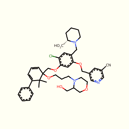 CC1(C)C(c2ccccc2)=CC=CC1(COc1cc(OCc2cncc(C#N)c2)c(CN2CCCC[C@H]2C(=O)O)cc1Cl)OCCCN1CCOCC1CO